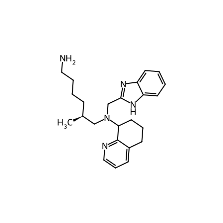 C[C@@H](CCCCN)CN(Cc1nc2ccccc2[nH]1)C1CCCc2cccnc21